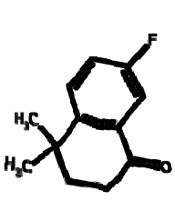 CC1(C)CCC(=O)c2cc(F)ccc21